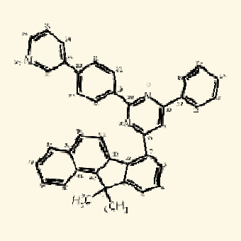 CC1(C)c2cccc(-c3cc(-c4ccccc4)nc(-c4ccc(-c5cccnc5)cc4)n3)c2-c2ccc3ccccc3c21